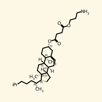 CC(C)CCC[C@@H](C)[C@H]1CC[C@H]2[C@@H]3CC=C4C[C@@H](OC(=O)CCC(=O)OCCCN)CC[C@]4(C)[C@H]3CC[C@]12C